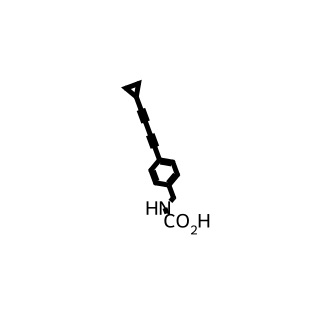 O=C(O)NCc1ccc(C#CC#CC2CC2)cc1